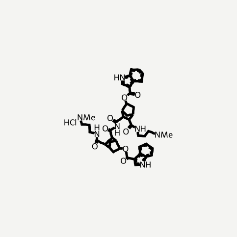 CNCCCNC(=O)C1C2CC(OC(=O)c3c[nH]c4ccccc34)C(C2)C1C(=O)NC(=O)C1C2CC(CC2OC(=O)c2c[nH]c3ccccc23)C1C(=O)NCCCNC.Cl